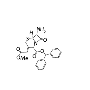 COC(=O)C=C1CS[C@H]2[C@H](N)C(=O)N2C1C(=O)OC(c1ccccc1)c1ccccc1